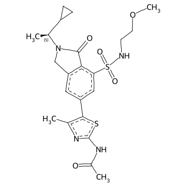 COCCNS(=O)(=O)c1cc(-c2sc(NC(C)=O)nc2C)cc2c1C(=O)N([C@@H](C)C1CC1)C2